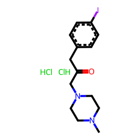 CN1CCN(CC(=O)Cc2ccc(I)cc2)CC1.Cl.Cl